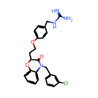 N=C(N)NCc1ccc(OCCC2Oc3ccccc3N(Cc3cccc(Cl)c3)C2=O)cc1